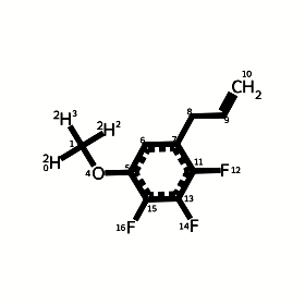 [2H]C([2H])([2H])Oc1cc(CC=C)c(F)c(F)c1F